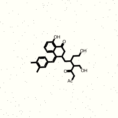 CC(=O)CC(=O)C(CO)C(CCO)CC1CC(=O)c2c(O)cccc2/C1=C\c1ccc(C)c(C)c1